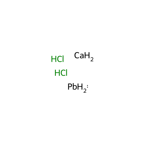 Cl.Cl.[CaH2].[PbH2]